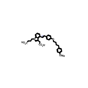 COc1ccc(CCCCOc2ccc(/C=C/c3cccc4c3c(CC(=O)O)cn4CCCC(=O)O)cc2)cc1